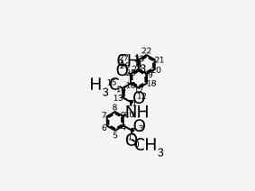 COC(=O)c1ccccc1NC(=O)/C=C(/C)c1ccc2ccccc2c1OC